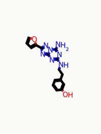 Nc1nc(NCCc2cccc(O)c2)nc2nc(-c3ccco3)nn12